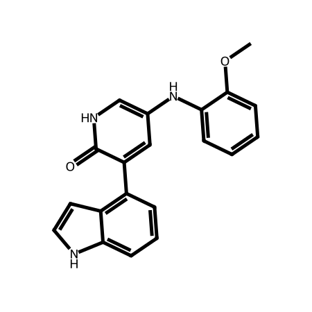 COc1ccccc1Nc1c[nH]c(=O)c(-c2cccc3[nH]ccc23)c1